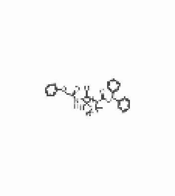 CC1(C)[C@H](C(=O)OC(c2ccccc2)c2ccccc2)N2C(=O)[C@@H](NC(=O)COc3ccccc3)[C@H]2[S+]1[O-]